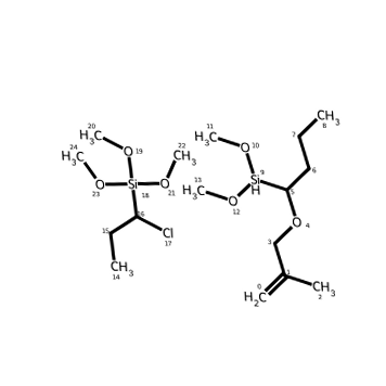 C=C(C)COC(CCC)[SiH](OC)OC.CCC(Cl)[Si](OC)(OC)OC